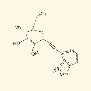 OCC1OC(C#Cc2nccc3cn[nH]c23)C(O)C(O)[C@@H]1O